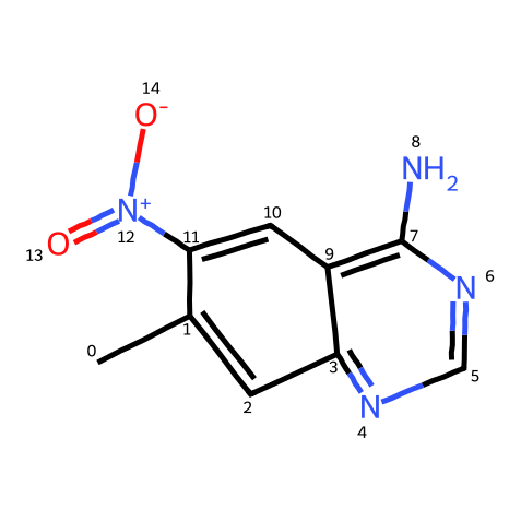 Cc1cc2ncnc(N)c2cc1[N+](=O)[O-]